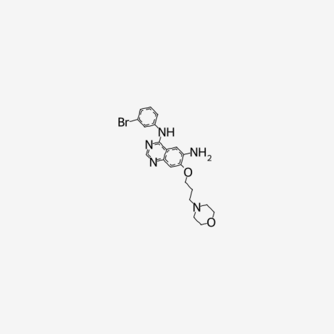 Nc1cc2c(Nc3cccc(Br)c3)ncnc2cc1OCCCN1CCOCC1